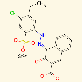 CCc1cc(N/N=C2/C(=O)C(C(=O)[O-])=Cc3ccccc32)c(S(=O)(=O)[O-])cc1Cl.[Sr+2]